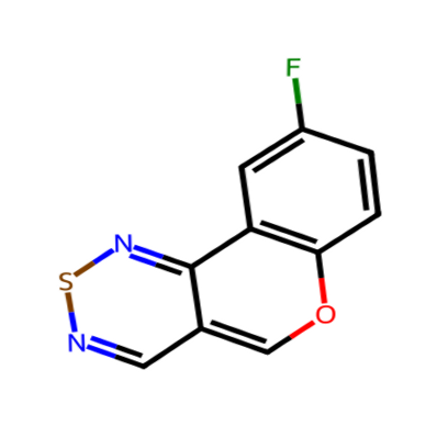 Fc1ccc2c(c1)C1=NSN=CC1=CO2